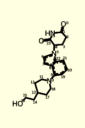 O=C1CCC(n2ccc3c(N4CCC(CCO)CC4)cccc32)C(=O)N1